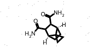 NC(=O)C1C(C(N)=O)[C@@H]2CC[C@H]1C21CC1